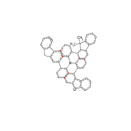 CC1(C)c2ccccc2-c2cccc(-c3ccccc3N(c3ccccc3-c3ccc4c(c3)Cc3ccccc3-4)c3ccccc3-c3cccc4oc5ccccc5c34)c21